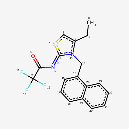 CCc1cs/c(=N\C(=O)C(F)(F)F)n1Cc1cccc2ccccc12